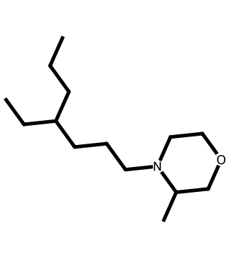 CCCC(CC)CCCN1CCOCC1C